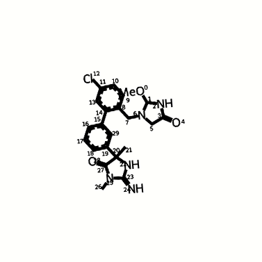 COC1NC(=O)CN1Cc1ccc(Cl)cc1-c1cccc(C2(C)NC(=N)N(C)C2=O)c1